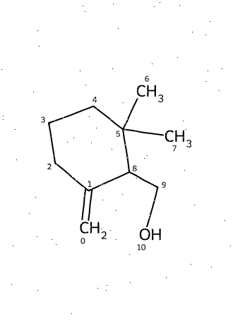 C=C1CCCC(C)(C)C1CO